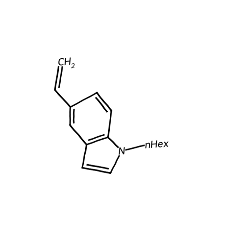 C=Cc1ccc2c(ccn2CCCCCC)c1